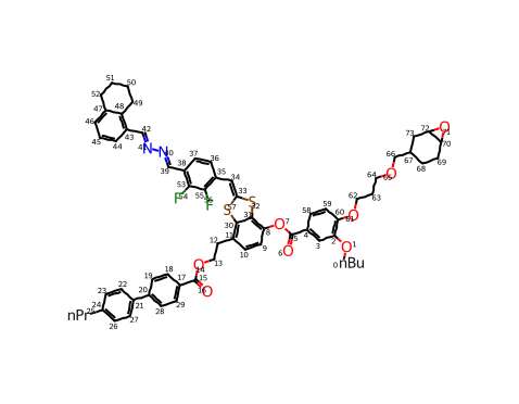 CCCCOc1cc(C(=O)Oc2ccc(CCOC(=O)c3ccc(-c4ccc(CCC)cc4)cc3)c3c2S/C(=C/c2ccc(/C=N/N=C/c4cccc5c4CCCC5)c(F)c2F)S3)ccc1OCCCOCC1CCC2OC2C1